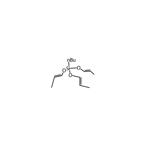 CC=CO[Si](CCCC)(OC=CC)OC=CC